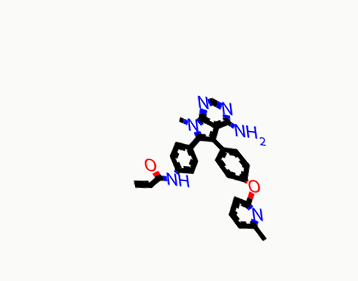 C=CC(=O)Nc1ccc(-c2c(-c3ccc(Oc4cccc(C)n4)cc3)c3c(N)ncnc3n2C)cc1